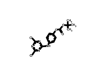 CC(C)(C)OC(=O)Oc1ccc(Nc2nc(Cl)nc(Cl)n2)cc1